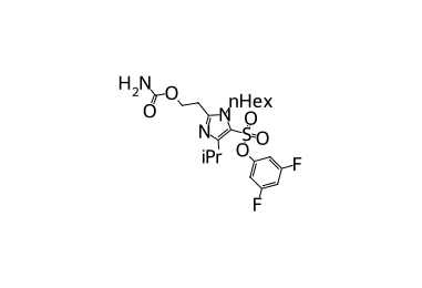 CCCCCCn1c(CCOC(N)=O)nc(C(C)C)c1S(=O)(=O)Oc1cc(F)cc(F)c1